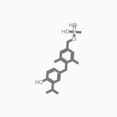 Cc1cc(CO[PH](C)(O)O)cc(C)c1Cc1ccc(O)c(C(C)C)c1